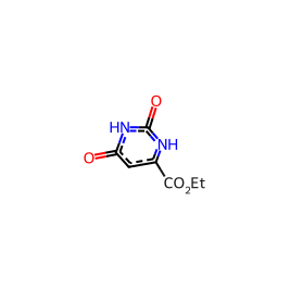 CCOC(=O)c1cc(=O)[nH]c(=O)[nH]1